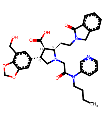 CCCCN(C(=O)CN1C[C@H](c2cc(CO)c3c(c2)OCO3)[C@@H](C(=O)O)[C@@H]1CCN1Cc2ccccc2C1=O)c1cccnc1